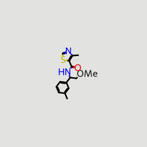 COCC(NC(=O)c1scnc1C)c1cccc(C)c1